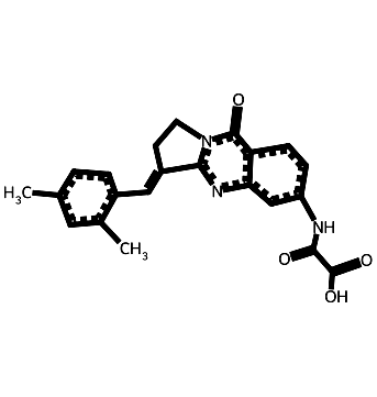 Cc1ccc(/C=C2\CCn3c2nc2cc(NC(=O)C(=O)O)ccc2c3=O)c(C)c1